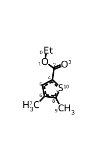 CCOC(=O)c1cc(C)c(C)s1